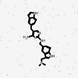 CN(C)Cc1c[nH]c2ccc(CNc3ncc(Cc4ccc5[nH]ccc5c4)c(N)n3)cc12